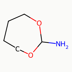 NC1OCCCCO1